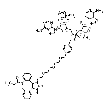 BP(=O)(OC)O[C@H]1[C@@H](F)[C@H](n2cnc3c(N)ncnc32)O[C@@H]1COP(=O)(O[C@@H]1C(C)O[C@@H](n2cnc3c(N)ncnc32)[C@@H]1F)SCc1ccc(COCCOCCOCCN2NNC3=C2c2ccccc2N(C(=O)CC)Cc2ccccc23)cc1